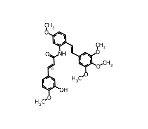 COc1ccc(C=Cc2cc(OC)c(OC)c(OC)c2)c(NC(=O)/C=C/c2ccc(OC)c(O)c2)c1